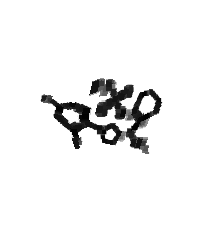 CN([C@@H]1CCN(c2ccc(Cl)cc2F)C1)[C@@H]1CCCC[C@H]1OS(C)(=O)=O